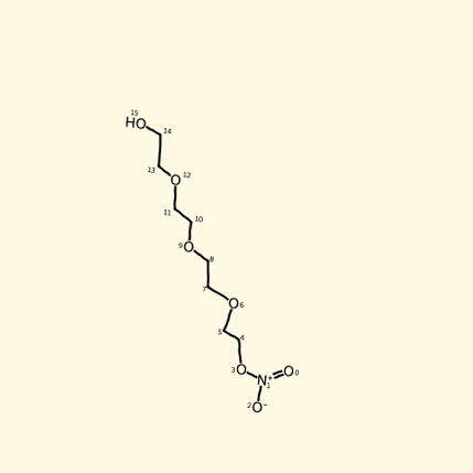 O=[N+]([O-])OCCOCCOCCOCCO